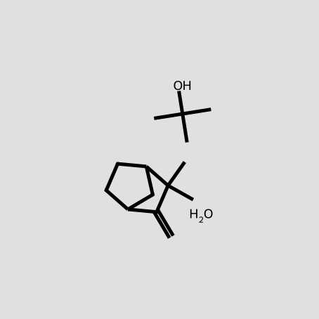 C=C1C2CCC(C2)C1(C)C.CC(C)(C)O.O